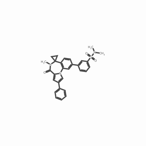 CN1C(=O)c2cc(-c3ccccc3)cn2-c2cc(-c3cccc(S(=O)(=O)N(C)C)c3)ccc2C12CC2